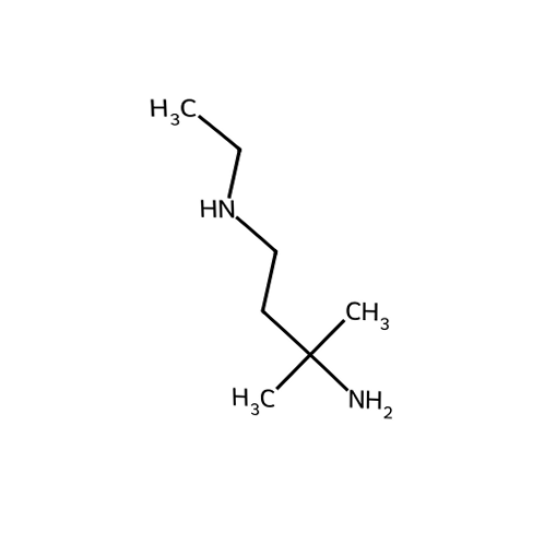 CCNCCC(C)(C)N